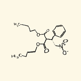 CCCCOC(=O)C(C(=O)OCCCC)[C@@H](C[N+](=O)[O-])c1ccccc1